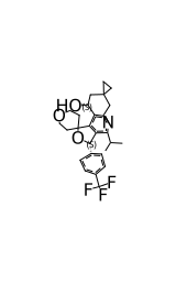 CC(C)c1nc2c(c3c1[C@H](c1ccc(C(F)(F)F)cc1)OC31CCOCC1)[C@@H](O)CC1(CC1)C2